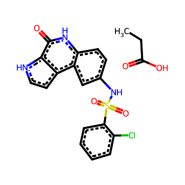 CCC(=O)O.O=c1[nH]c2ccc(NS(=O)(=O)c3ccccc3Cl)cc2c2cc[nH]c12